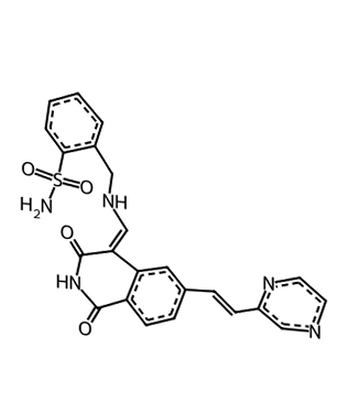 NS(=O)(=O)c1ccccc1CN/C=C1\C(=O)NC(=O)c2ccc(/C=C/c3cnccn3)cc21